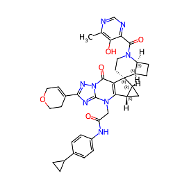 Cc1ncnc(C(=O)N2CC[C@]3(c4c(n(CC(=O)Nc5ccc(C6CC6)cc5)c5nc(C6=CCOCC6)nn5c4=O)[C@H]4C[C@H]43)[C@@H]3CC[C@@H]32)c1O